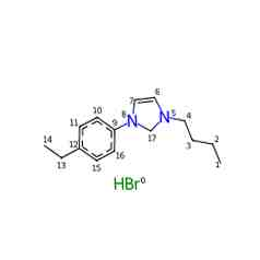 Br.CCCCN1C=CN(c2ccc(CC)cc2)C1